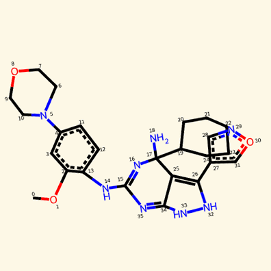 COc1cc(N2CCOCC2)ccc1NC1=NC(N)(C2CCCCC2)C2=C(c3cnoc3)NNC2=N1